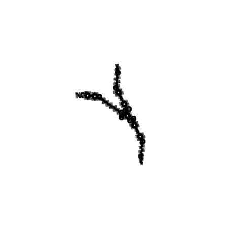 C=CCOCCCCCCOc1ccc(C#Cc2ccc(C(=O)Oc3ccc(OC(=O)c4ccc(C#Cc5ccc(OCCCCCCOCC=C)cc5)cc4)c(C(=O)OCCCCCCCCCCCOc4ccc(-c5ccc(C#N)cc5)cc4)c3)cc2)cc1